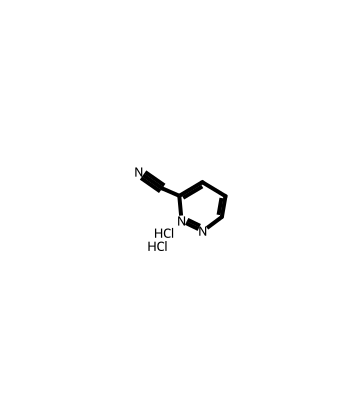 Cl.Cl.N#Cc1cccnn1